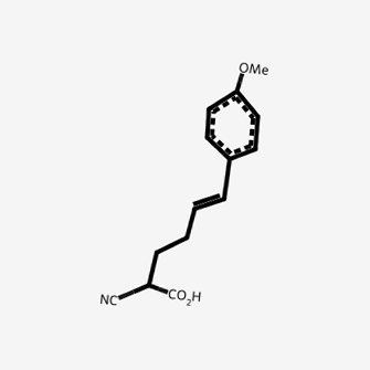 COc1ccc(C=CCCC(C#N)C(=O)O)cc1